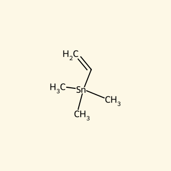 C=[CH][Sn]([CH3])([CH3])[CH3]